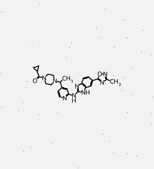 Cc1noc(-c2ccc3nc(Nc4cc(C(C)N5CCN(C(=O)C6CC6)CC5)ccn4)[nH]c3c2)n1